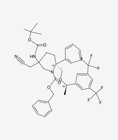 C[C@@H](OC[C@@]1(c2ccccc2)CCC(CC#N)(NC(=O)OC(C)(C)C)CN1C(=O)OCc1ccccc1)c1cc(C(F)(F)F)cc(C(F)(F)F)c1